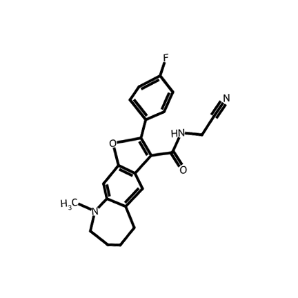 CN1CCCCc2cc3c(C(=O)NCC#N)c(-c4ccc(F)cc4)oc3cc21